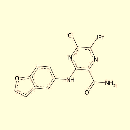 CC(C)c1nc(C(N)=O)c(Nc2ccc3occc3c2)nc1Cl